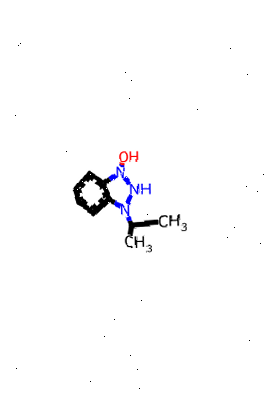 CC(C)N1NN(O)c2ccccc21